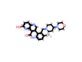 NC(=O)c1c(-c2cccc(C(F)(F)F)c2CN2CCC(N3CCOCC3)CC2)cnc2ccc(O)nc12